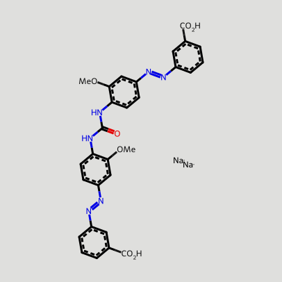 COc1cc(N=Nc2cccc(C(=O)O)c2)ccc1NC(=O)Nc1ccc(N=Nc2cccc(C(=O)O)c2)cc1OC.[Na].[Na]